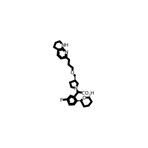 O=C(O)C(c1cc(F)ccc1[C@@H]1CCCCO1)N1CC[C@@H](COCCCc2ccc3c(n2)NCCC3)C1